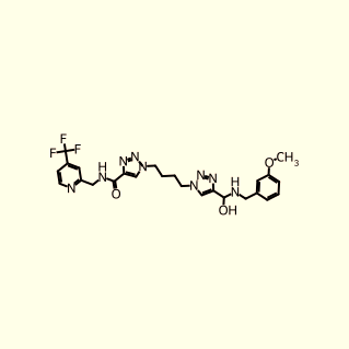 COc1cccc(CNC(O)c2cn(CCCCn3cc(C(=O)NCc4cc(C(F)(F)F)ccn4)nn3)nn2)c1